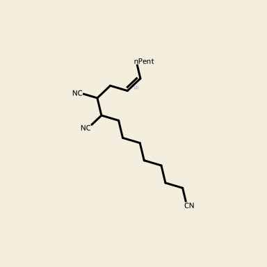 CCCCC/C=C\CC(C#N)C(C#N)CCCCCCCC#N